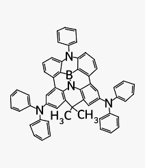 CC1(C)c2cc(N(c3ccccc3)c3ccccc3)cc3c2N2B4c5c-3cccc5N(c3ccccc3)c3cccc(c34)-c3cc(N(c4ccccc4)c4ccccc4)cc1c32